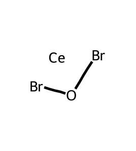 BrOBr.[Ce]